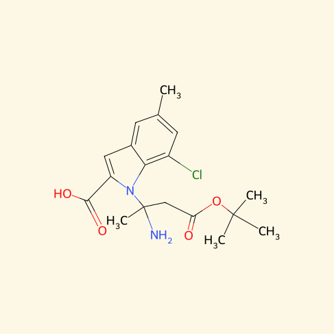 Cc1cc(Cl)c2c(c1)cc(C(=O)O)n2C(C)(N)CC(=O)OC(C)(C)C